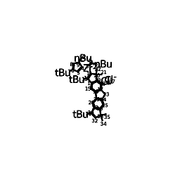 CCCC[C](CCCC)=[Zr+2]([C]1=CC(C(C)(C)C)=CC1C)[C]1=C(C(C)(C)C)c2cc3c(cc2C1(C)C)Cc1cc2c(cc1-3)C(C(C)(C)C)=CC2(C)C.[Cl-].[Cl-]